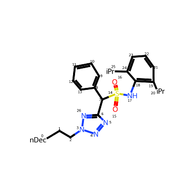 CCCCCCCCCCCCn1nnc(C(c2ccccc2)S(=O)(=O)Nc2c(C(C)C)cccc2C(C)C)n1